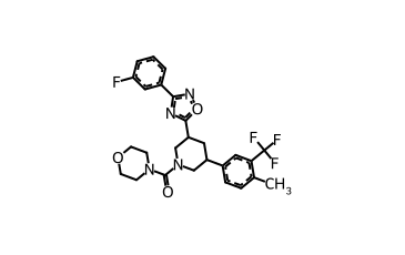 Cc1ccc(C2CC(c3nc(-c4cccc(F)c4)no3)CN(C(=O)N3CCOCC3)C2)cc1C(F)(F)F